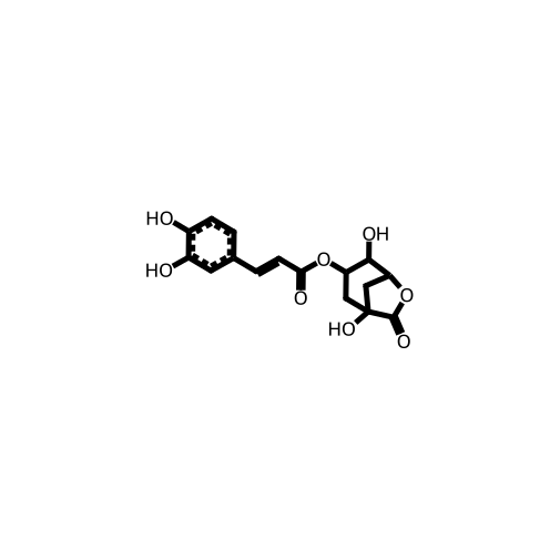 O=C(/C=C/c1ccc(O)c(O)c1)OC1CC2(O)CC(OC2=O)C1O